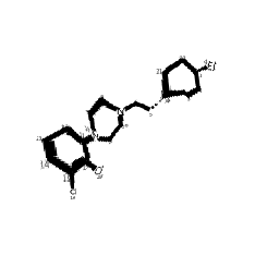 CC[C@H]1CC[C@H](CCN2CCN(c3cccc(Cl)c3Cl)CC2)CC1